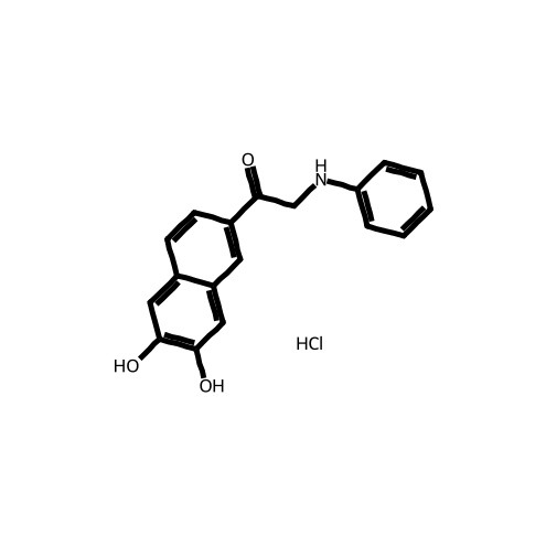 Cl.O=C(CNc1ccccc1)c1ccc2cc(O)c(O)cc2c1